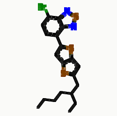 CCCCC(CC)Cc1cc2sc(-c3ccc(Br)c4nsnc34)cc2s1